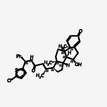 CC(C)[C@@H](NC(=O)C[C@@H](C)[C@H]1CC[C@H]2[C@@H]3[C@H](O)CC4=CC(=O)C=C[C@]4(C)[C@H]3CC[C@]12C)c1ccc(Cl)s1